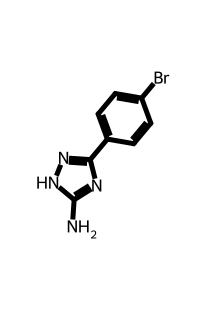 Nc1nc(-c2ccc(Br)cc2)n[nH]1